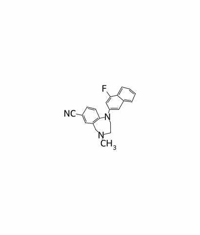 CN1CCN(c2cc(F)c3ccccc3c2)c2ccc(C#N)cc2C1